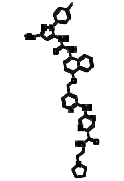 Cc1ccc(-n2nc(C(C)(C)C)cc2NC(=O)Nc2ccc(OCc3ccnc(Nc4cnc(C(=O)NCCN5CCCC5)cn4)c3)c3ccccc23)cc1